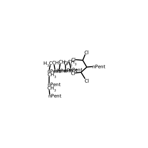 CCCCCC.CCCCCC.CCCCCC.CCCCCC.CCCCCC.CCCCCC.CCCCCC.CCCCCC(C(Cl)Cl)C(Cl)Cl